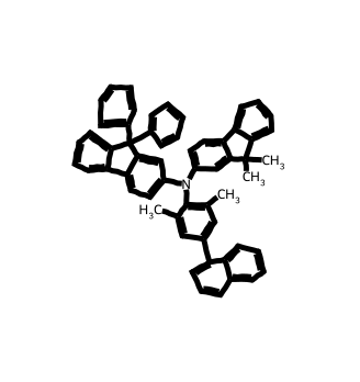 Cc1cc(-c2cccc3ccccc23)cc(C)c1N(c1ccc2c(c1)C(C)(C)c1ccccc1-2)c1ccc2c(c1)C(c1ccccc1)(c1ccccc1)c1ccccc1-2